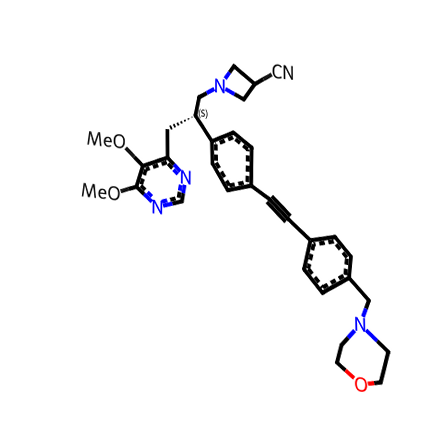 COc1ncnc(C[C@H](CN2CC(C#N)C2)c2ccc(C#Cc3ccc(CN4CCOCC4)cc3)cc2)c1OC